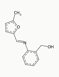 Cc1ccc(C=Nc2ccccc2CO)o1